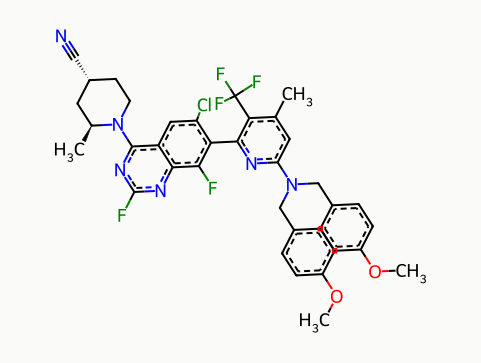 COc1ccc(CN(Cc2ccc(OC)cc2)c2cc(C)c(C(F)(F)F)c(-c3c(Cl)cc4c(N5CC[C@@H](C#N)C[C@@H]5C)nc(F)nc4c3F)n2)cc1